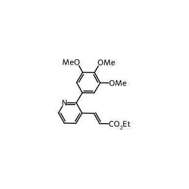 CCOC(=O)C=Cc1cccnc1-c1cc(OC)c(OC)c(OC)c1